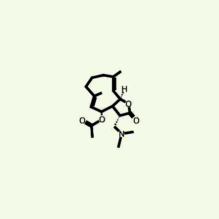 CC(=O)O[C@@H]1/C=C(\C)CCC/C(C)=C/[C@H]2OC(=O)[C@H](CN(C)C)C12